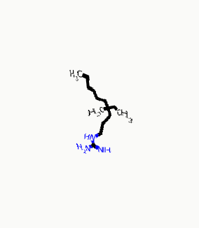 CCCCCCC(C)(CC)CCCNC(=N)N